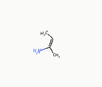 [CH2]/C=C(/C)N